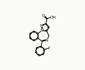 O=C(O)c1cc2n(n1)-c1ccccc1C(c1ccccc1F)=NC2